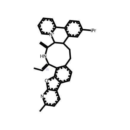 C=C1N/C(=C\C)c2c(ccc3c2oc2nc(C)ccc23)CCC2c3cc(C(C)C)ccc3-c3cccc[n+]3C12